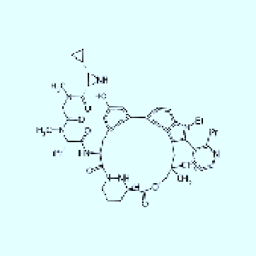 CCn1c(-c2cccnc2C(C)C)c2c3cc(ccc31)-c1cc(O)cc(c1)C[C@H](NC(=O)[C@H](C(C)C)N(C)C(=O)CN(C)C(=O)[C@H]1N[C@H]1C1CC1)C(=O)N1CCC[C@H](N1)C(=O)OCC(C)(C)C2